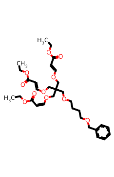 CCOC(=O)/C=C\OCC(CO/C=C/C(=O)OCC)(CO/C=C/C(=O)OCC)COCCCCOCc1ccccc1